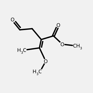 COC(=O)C(CC=O)=C(C)OC